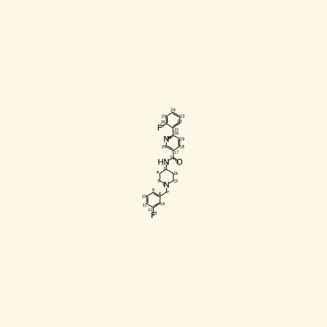 O=C(NC1CCN(Cc2cccc(F)c2)CC1)c1ccc(-c2ccccc2F)nc1